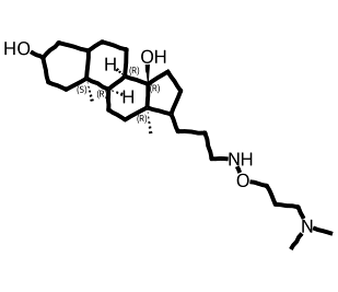 CN(C)CCCONCCCC1CC[C@@]2(O)[C@@H]3CCC4CC(O)CC[C@]4(C)[C@@H]3CC[C@]12C